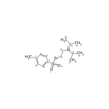 Cc1ccc(S(=O)(=O)SCCN(C(C)C)C(C)C)cc1